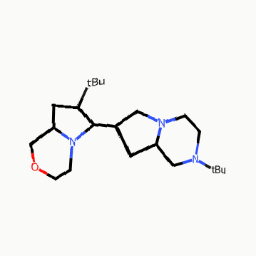 CC(C)(C)C1CC2COCCN2C1C1CC2CN(C(C)(C)C)CCN2C1